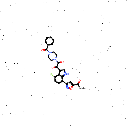 CNC(=O)c1cc(-c2ccc(F)c3c(C(=O)C(=O)N4CCN(C(=O)c5ccccc5)CC4)c[nH]c23)no1